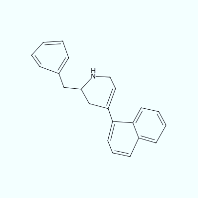 C1=C(c2cccc3ccccc23)CC(Cc2ccccc2)NC1